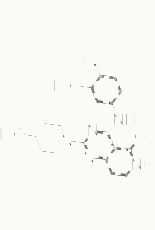 O=c1[nH]ccc2nc(N3CCC(O)CC3)nc(Nc3ccc(Cl)c(C(F)(F)F)c3)c12